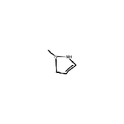 CN1[CH]C=CN1